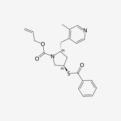 C=CCOC(=O)N1C[C@H](SC(=O)c2ccccc2)C[C@H]1Cc1ccncc1C